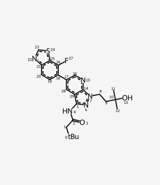 CC(C)(C)CC(=O)Nc1nn(CCC(C)(C)O)c2ncc(-c3ccc4ncsc4c3F)cc12